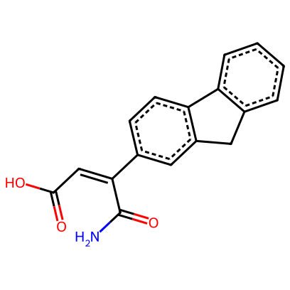 NC(=O)C(=CC(=O)O)c1ccc2c(c1)Cc1ccccc1-2